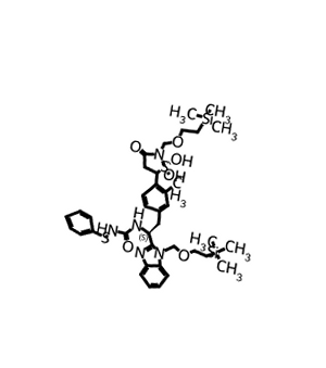 Cc1cc(C[C@H](NC(=O)NSc2ccccc2)c2nc3ccccc3n2COCC[Si](C)(C)C)ccc1C1CC(=O)N(COCC[Si](C)(C)C)S1(O)O